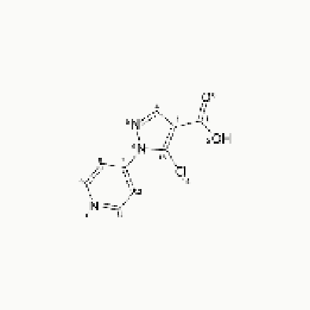 O=C(O)c1cnn(-c2ccncc2)c1Cl